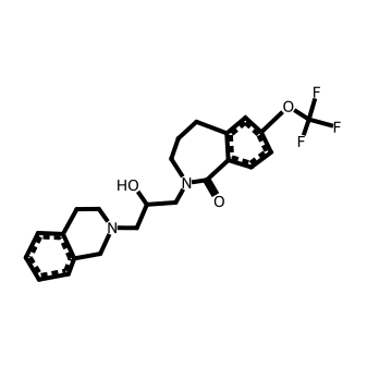 O=C1c2ccc(OC(F)(F)F)cc2CCCN1CC(O)CN1CCc2ccccc2C1